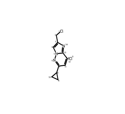 Cl.ClCc1cn2nc(C3CC3)ccc2n1